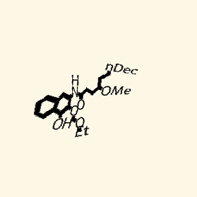 CCCCCCCCCCCCC(CCC(=O)Nc1cc2ccccc2c(O)c1OCOCC)OC